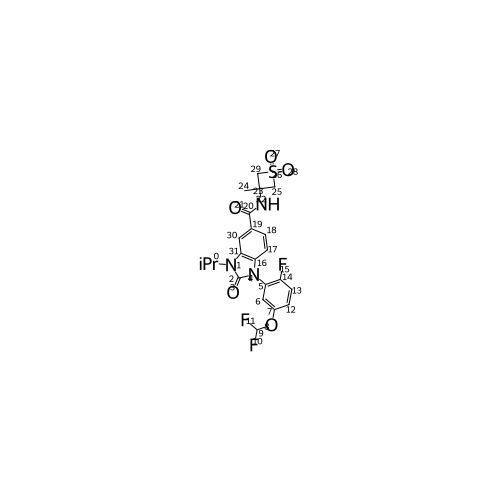 CC(C)n1c(=O)n(-c2cc(OC(F)F)ccc2F)c2ccc(C(=O)NC3(C)CS(=O)(=O)C3)cc21